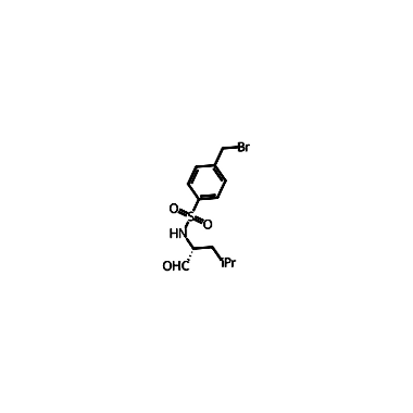 CC(C)C[C@H](C=O)NS(=O)(=O)c1ccc(CBr)cc1